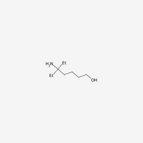 CCC(N)([CH]CCCO)CC